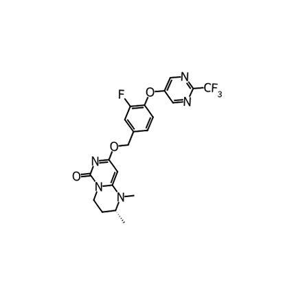 C[C@@H]1CCn2c(cc(OCc3ccc(Oc4cnc(C(F)(F)F)nc4)c(F)c3)nc2=O)N1C